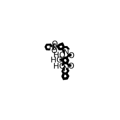 O=C(c1cc(C(=O)N2CCc3ccc(S(=O)(=O)N4CCCCC4)cc3C2)c(O)c(O)c1O)N1CCc2ccccc2C1